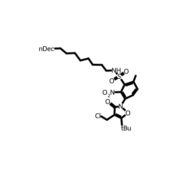 CCCCCCCCCCCCCCCCCCNS(=O)(=O)c1c(C)ccc(-n2oc(C(C)(C)C)c(CCl)c2=O)c1[N+](=O)[O-]